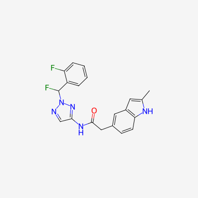 Cc1cc2cc(CC(=O)Nc3cnn(C(F)c4ccccc4F)n3)ccc2[nH]1